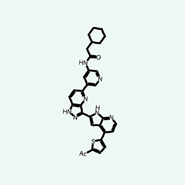 CC(=O)c1ccc(-c2ccnc3[nH]c(-c4n[nH]c5ccc(-c6cncc(NC(=O)CC7CCCCC7)c6)nc45)cc23)s1